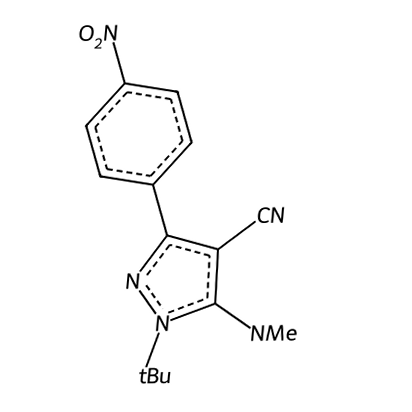 CNc1c(C#N)c(-c2ccc([N+](=O)[O-])cc2)nn1C(C)(C)C